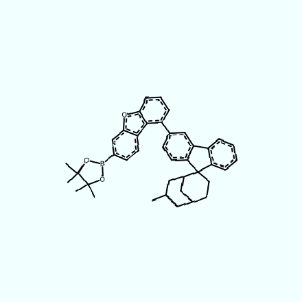 CC1CC2CCC3(c4ccccc4-c4cc(-c5cccc6oc7cc(B8OC(C)(C)C(C)(C)O8)ccc7c56)ccc43)C(C1)C2